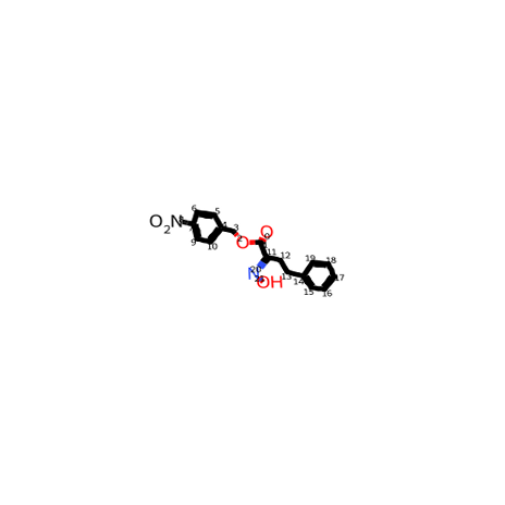 O=C(OCc1ccc([N+](=O)[O-])cc1)C(CCc1ccccc1)=NO